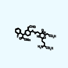 COC(=O)C(c1ccccc1F)N1CCC(SSCC(NC(=O)CCC(N)C(=O)O)C(=O)NCC(=O)O)/C(=C\C=O)C1